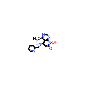 Cc1ncnc2c1c(NCc1ccccn1)cc(=O)n2O